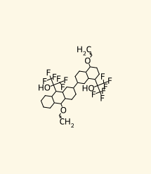 C=COC1CCC(C(O)(C(F)(F)F)C(F)(F)F)C2CC(C3CCC4C(C3)C(C(O)(C(F)(F)F)C(F)(F)F)C3CCCCC3C4OC=C)CCC12